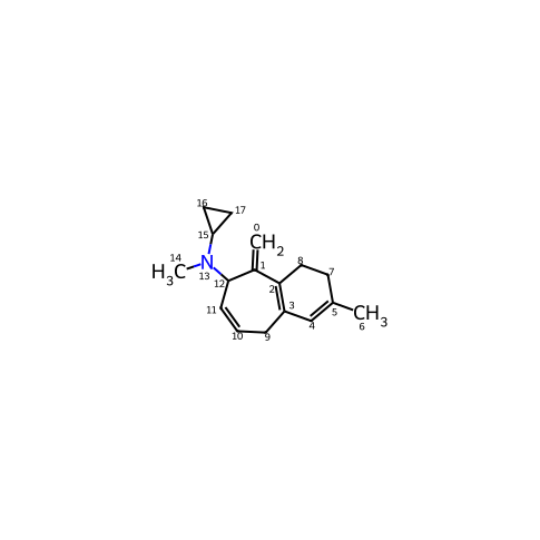 C=C1C2=C(C=C(C)CC2)CC=CC1N(C)C1CC1